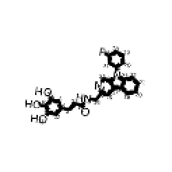 O=C(/C=C/c1cc(O)c(O)c(O)c1)NCc1cc2c3ccccc3n(-c3cccc(F)c3)c2cn1